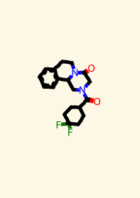 O=C(C1CCC(F)(F)CC1)N1CC(=O)N2CCc3ccccc3C2C1